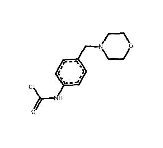 O=C(Cl)Nc1ccc(CN2CCOCC2)cc1